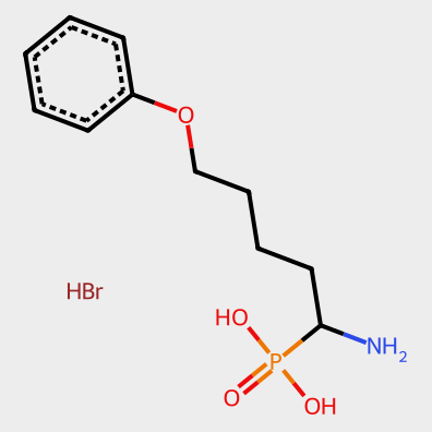 Br.NC(CCCCOc1ccccc1)P(=O)(O)O